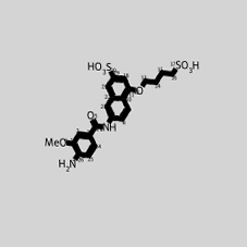 COc1cc(C(=O)Nc2ccc3c(OCCCCS(=O)(=O)O)cc(S(=O)(=O)O)cc3c2)ccc1N